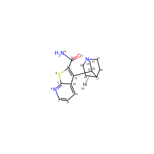 NC(=O)c1sc2ncccc2c1[C@H]1CN2CCC1CC2